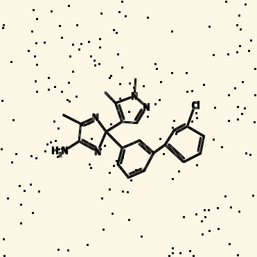 CC1=NC(c2cccc(-c3cccc(Cl)c3)c2)(c2cnn(C)c2C)N=C1N